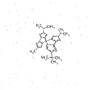 Cc1cc2c(s1)-c1sc(C(C)C)cc1C21c2cc(C(C)C)sc2-c2sc(C(C)(C)C)cc21